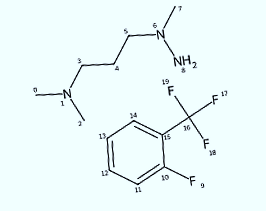 CN(C)CCCN(C)N.Fc1ccccc1C(F)(F)F